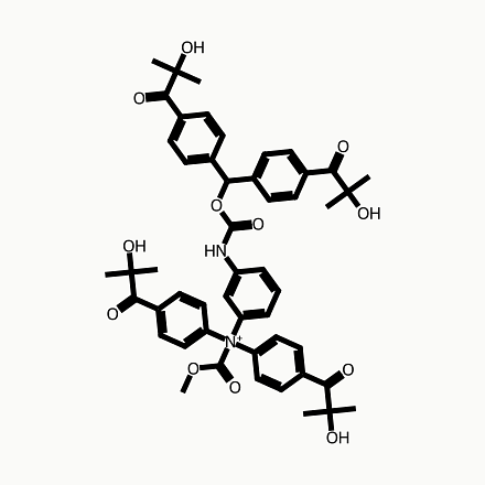 COC(=O)[N+](c1ccc(C(=O)C(C)(C)O)cc1)(c1ccc(C(=O)C(C)(C)O)cc1)c1cccc(NC(=O)OC(c2ccc(C(=O)C(C)(C)O)cc2)c2ccc(C(=O)C(C)(C)O)cc2)c1